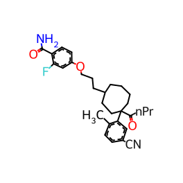 CCCC(=O)C1(c2cc(C#N)ccc2C)CCCCC(CCCOc2ccc(C(N)=O)c(F)c2)CC1